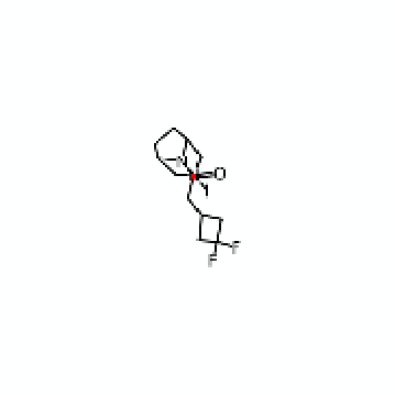 O=C(CC1CC(F)(F)C1)N1C2CCC1CN(I)C2